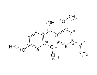 COc1ccc(C(O)c2ccc(OC)cc2OC)c(OC)c1